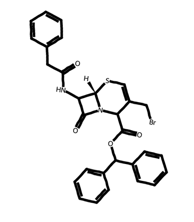 O=C(Cc1ccccc1)NC1C(=O)N2C(C(=O)OC(c3ccccc3)c3ccccc3)C(CBr)=CS[C@@H]12